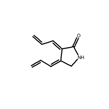 C=C/C=C1/CNC(=O)/C1=C/C=C